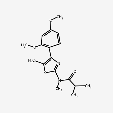 COc1ccc(-c2nc(N(C)C(=O)C(C)C)sc2C)c(OC)c1